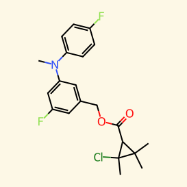 CN(c1ccc(F)cc1)c1cc(F)cc(COC(=O)C2C(C)(C)C2(C)Cl)c1